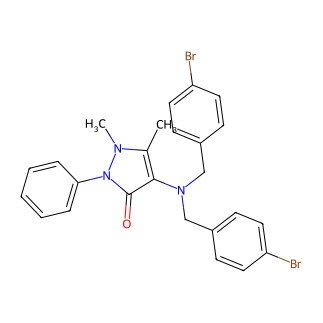 Cc1c(N(Cc2ccc(Br)cc2)Cc2ccc(Br)cc2)c(=O)n(-c2ccccc2)n1C